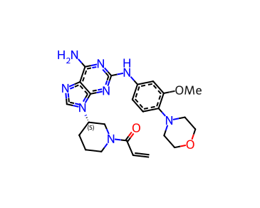 C=CC(=O)N1CCC[C@H](n2cnc3c(N)nc(Nc4ccc(N5CCOCC5)c(OC)c4)nc32)C1